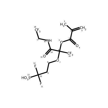 C=C(C)C(=O)OC(OCCC(F)(F)S(=O)(=O)O)(C(=O)NCC(F)(F)F)C(F)(F)F